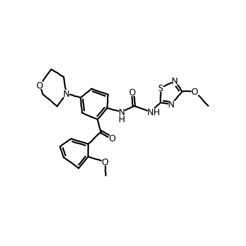 COc1nsc(NC(=O)Nc2ccc(N3CCOCC3)cc2C(=O)c2ccccc2OC)n1